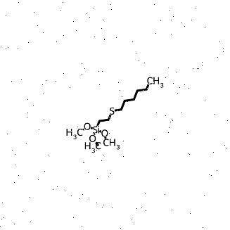 CCCCCCSCC[Si](OC)(OC)OC